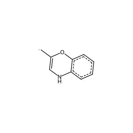 [CH2]C1=CNc2ccccc2O1